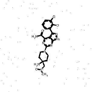 C[S+]([O-])CC1(N)CCN(c2nc(C(N)=O)c3c(-c4cccc(Cl)c4Cl)n[nH]c3n2)CC1